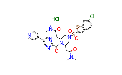 CN(C)C(=O)CC1CN(S(=O)(=O)c2cc3ccc(Cl)cc3s2)CC(CC(=O)N(C)C)N1C(=O)c1ncc(-c2ccncc2)cn1.Cl